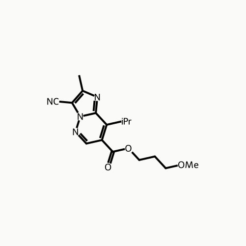 COCCCOC(=O)c1cnn2c(C#N)c(C)nc2c1C(C)C